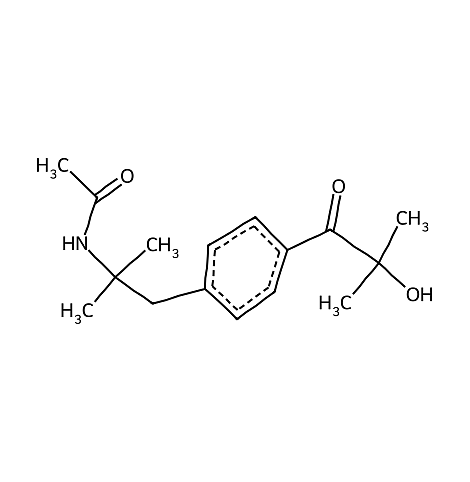 CC(=O)NC(C)(C)Cc1ccc(C(=O)C(C)(C)O)cc1